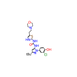 CC(C)(C)c1cc(NC(=O)NC2NC=C(CCN3CCOCC3)S2)n(-c2ccc(O)c(Cl)c2)n1